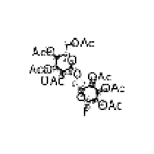 CC(=O)OC[C@H]1O[C@H](OC[C@H]2O[C@H](F)[C@H](OC(C)=O)[C@@H](OC(C)=O)[C@H]2OC(C)=O)[C@H](OC(C)=O)[C@@H](OC(C)=O)[C@H]1OC(C)=O